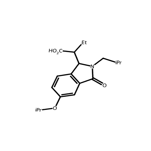 CCC(C(=O)O)C1c2ccc(OC(C)C)cc2C(=O)N1CC(C)C